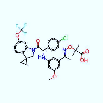 COc1cc(NC(C(=O)N2CC3(CC3)c3ccc(OC(F)(F)F)cc32)c2ccc(Cl)cc2)cc(C(C)=NOC(C)(C)C(=O)O)c1